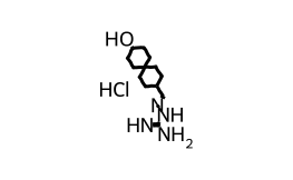 Cl.N=C(N)N/N=C/C1CCC2(CCC(O)CC2)CC1